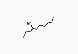 [CH2]CCC(Br)CCCCCC